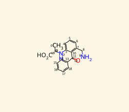 C[C@H](Nc1cccc(CN)c1C(=O)c1ccccc1)C(=O)O